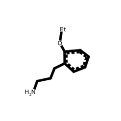 CCOc1ccccc1CCCN